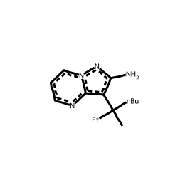 CCCCC(C)(CC)c1c(N)nn2cccnc12